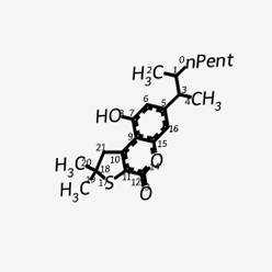 CCCCCC(C)C(C)c1cc(O)c2c3c(c(=O)oc2c1)SC(C)(C)C3